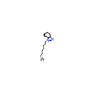 CC(C)CCCCCCCn1cnc2ccccc21